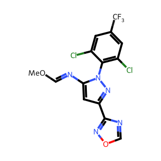 COC=Nc1cc(-c2ncon2)nn1-c1c(Cl)cc(C(F)(F)F)cc1Cl